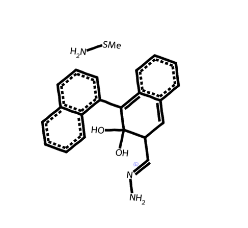 CSN.N/N=C/C1C=c2ccccc2=C(c2cccc3ccccc23)C1(O)O